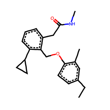 CCc1ccc(OCc2c(CC(=O)NC)cccc2C2CC2)c(C)c1